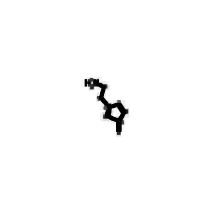 C=C1C=CS(CCN)=C1